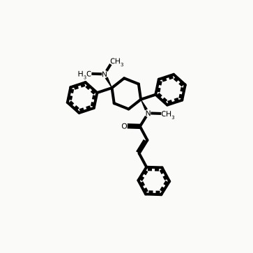 CN(C)[C@]1(c2ccccc2)CC[C@](c2ccccc2)(N(C)C(=O)/C=C/c2ccccc2)CC1